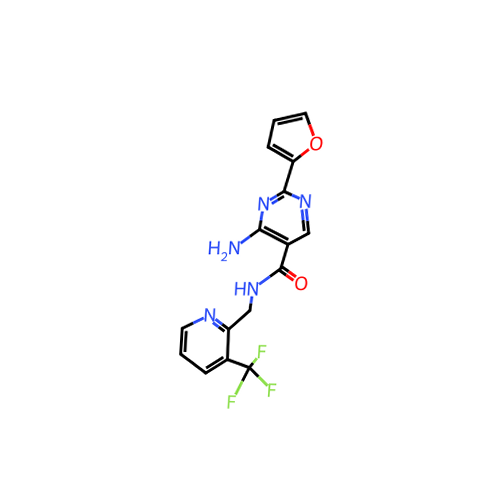 Nc1nc(-c2ccco2)ncc1C(=O)NCc1ncccc1C(F)(F)F